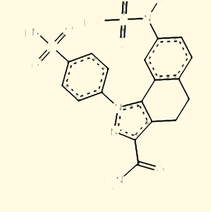 CN(c1ccc2c(c1)-c1c(c(C(N)=O)nn1-c1ccc(S(N)(=O)=O)cc1)CC2)S(C)(=O)=O